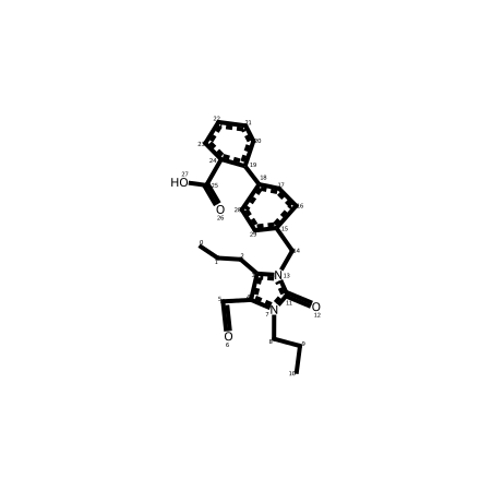 CCCc1c(C=O)n(CCC)c(=O)n1Cc1ccc(-c2ccccc2C(=O)O)cc1